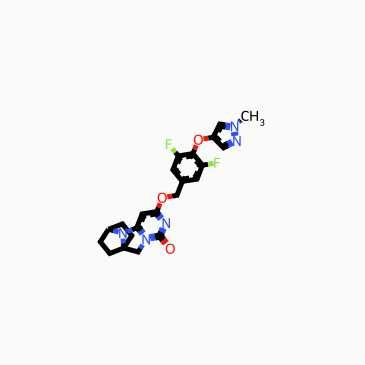 Cn1cc(Oc2c(F)cc(COc3cc4n(c(=O)n3)CC35CCC(CC3)N45)cc2F)cn1